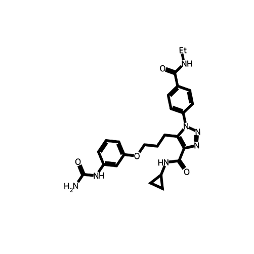 CCNC(=O)c1ccc(-n2nnc(C(=O)NC3CC3)c2CCCOc2cccc(NC(N)=O)c2)cc1